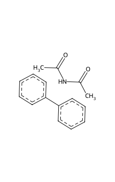 CC(=O)NC(C)=O.c1ccc(-c2ccccc2)cc1